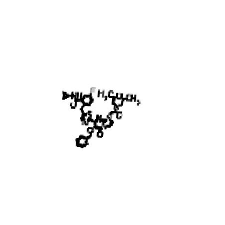 CC1CN(C(=O)Cn2ccn3c(=O)c(OCc4ccccc4)c(-c4ncc(Cc5ccc(F)cc5C(=O)NC5CC5)s4)nc23)CC(C)O1